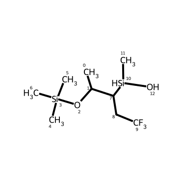 CC(O[Si](C)(C)C)C(CC(F)(F)F)[SiH](C)O